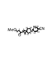 COCCC(=O)N1CC2(CCN(c3ccc(C#N)cn3)CC2)C1